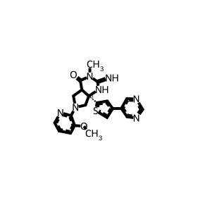 COc1cccnc1N1CC2C(=O)N(C)C(=N)N[C@@]2(c2cc(-c3cncnc3)cs2)C1